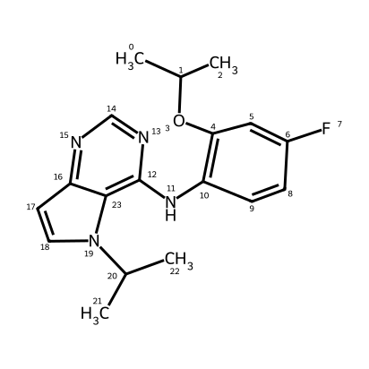 CC(C)Oc1cc(F)ccc1Nc1ncnc2ccn(C(C)C)c12